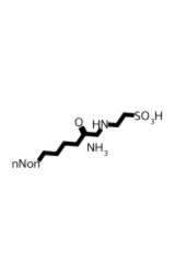 CCCCCCCCCCCCCC(=O)CNCCS(=O)(=O)O.N